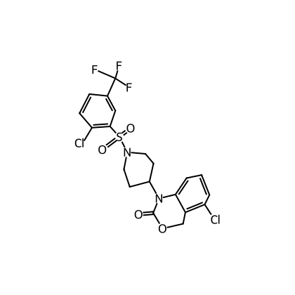 O=C1OCc2c(Cl)cccc2N1C1CCN(S(=O)(=O)c2cc(C(F)(F)F)ccc2Cl)CC1